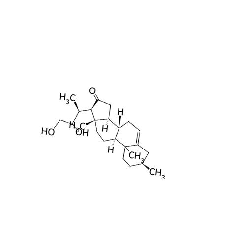 C[C@H]1CCC2(C)C(=CC[C@@H]3[C@@H]2CC[C@]2(C)[C@@H]([C@H](C)C(O)CO)C(=O)C[C@@H]32)C1